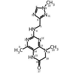 Cc1nc(NCc2ncn(C)n2)nc2c1NC(=O)CN2C